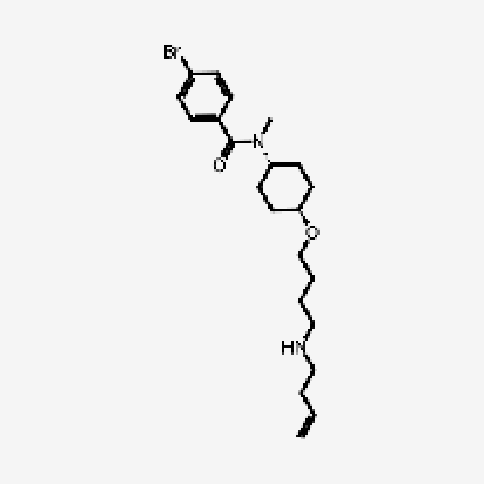 C=CCCNCCCCO[C@H]1CC[C@H](N(C)C(=O)c2ccc(Br)cc2)CC1